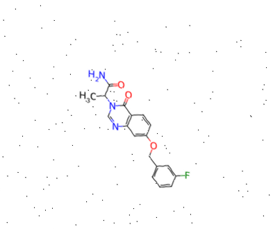 CC(C(N)=O)n1cnc2cc(OCc3cccc(F)c3)ccc2c1=O